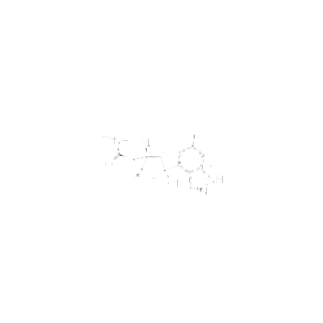 CNC(=O)[C@H]1[C@@H]2C[C@](O)(c3cc(Cl)cc4[nH]ncc34)C[C@@H]21